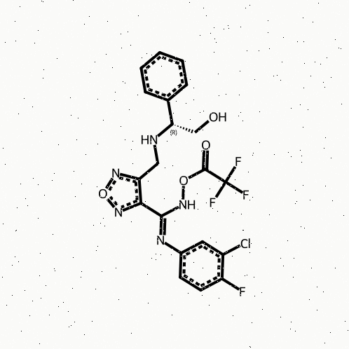 O=C(ONC(=Nc1ccc(F)c(Cl)c1)c1nonc1CN[C@@H](CO)c1ccccc1)C(F)(F)F